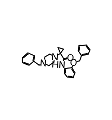 O=C(Nc1ccccc1OCc1ccccc1)C1(N2CCN(Cc3ccccc3)CC2)CC1